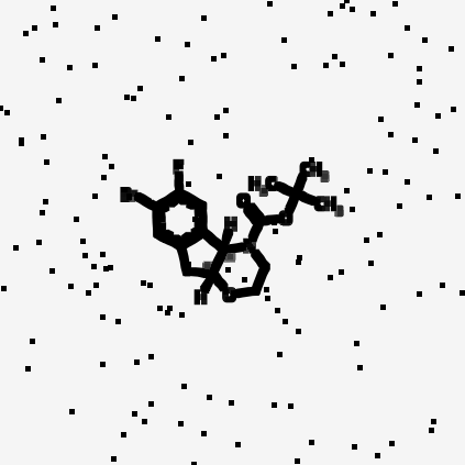 CC(C)(C)OC(=O)N1CCO[C@@H]2Cc3cc(Br)c(F)cc3[C@@H]21